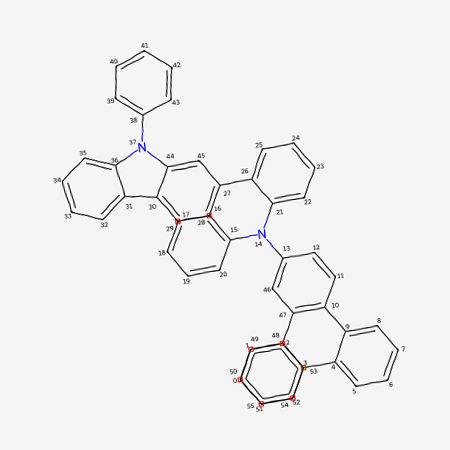 c1ccc(-c2ccccc2-c2ccc(N(c3ccccc3)c3ccccc3-c3ccc4c5ccccc5n(-c5ccccc5)c4c3)cc2-c2ccccc2)cc1